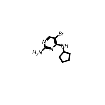 Nc1ncc(Br)c(NC2CCCC2)n1